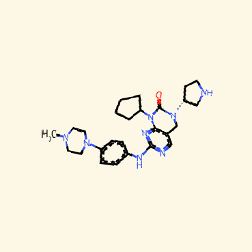 CN1CCN(c2ccc(Nc3ncc4c(n3)N(C3CCCC3)C(=O)N([C@@H]3CCNC3)C4)cc2)CC1